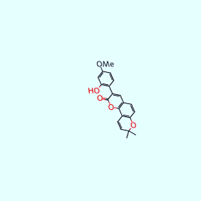 COc1ccc(-c2cc3ccc4c(c3oc2=O)C=CC(C)(C)O4)c(O)c1